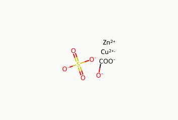 O=C([O-])[O-].O=S(=O)([O-])[O-].[Cu+2].[Zn+2]